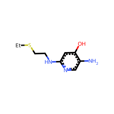 CCSCCNc1cc(O)c(N)cn1